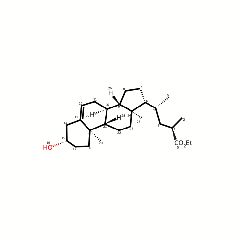 CCOC(=O)[C@H](C)C[C@@H](C)[C@H]1CC[C@H]2[C@@H]3CC=C4C[C@@H](O)CC[C@]4(C)[C@H]3CC[C@]12C